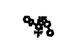 O=C(O)C1(c2nc(-c3cc4ccccc4o3)cc(C(F)(F)F)n2)CC(c2ccccc2)=CC=C1F